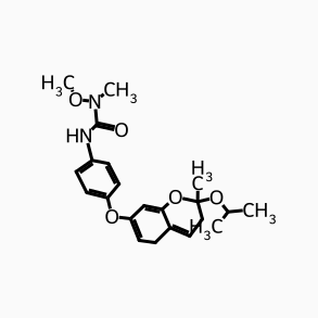 CON(C)C(=O)Nc1ccc(OC2=CCC3=CCC(C)(OC(C)C)OC3=C2)cc1